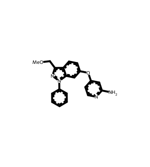 COCc1nn(-c2ccccc2)c2cc(Oc3ccnc(N)c3)ccc12